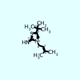 CC(C)=CCn1cc(C(C)(C)C)sc1=N